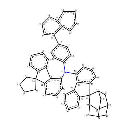 c1ccc2c(c1)-c1c(N(c3ccc(-c4cccc5ccccc45)cc3)c3cccc4c3-c3ccccc3C43C4CC5CC(C4)CC3C5)cccc1C21CCCC1